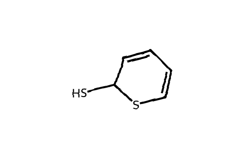 SC1C=CC=CS1